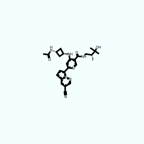 CC(=O)N[C@H]1C[C@H](Nc2cc(-c3ccc4cc(C#N)cnn34)ncc2C(=O)NC[C@@H](F)C(C)(C)O)C1